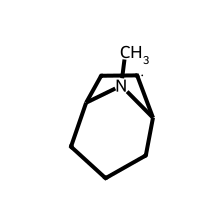 CN1C2[CH]CC1CCC2